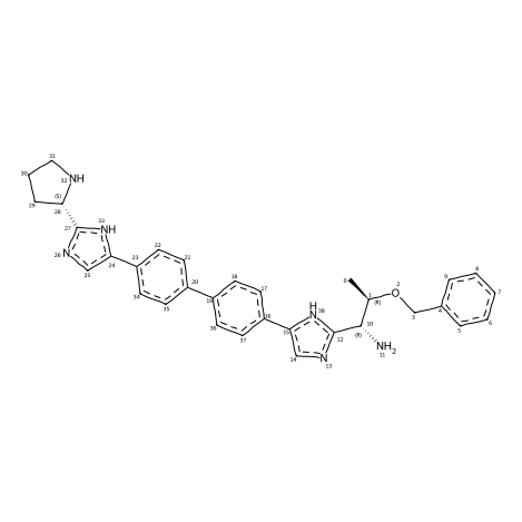 C[C@@H](OCc1ccccc1)[C@H](N)c1ncc(-c2ccc(-c3ccc(-c4cnc([C@@H]5CCCN5)[nH]4)cc3)cc2)[nH]1